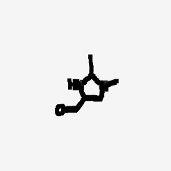 CC1NC(C=O)=CN1C